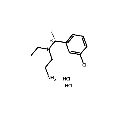 CCN(CCN)[C@H](C)c1cccc(Cl)c1.Cl.Cl